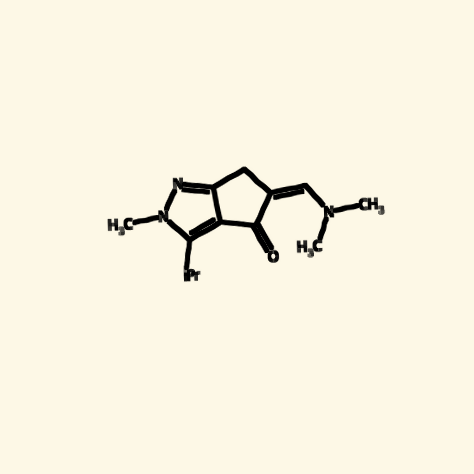 CC(C)c1c2c(nn1C)C/C(=C/N(C)C)C2=O